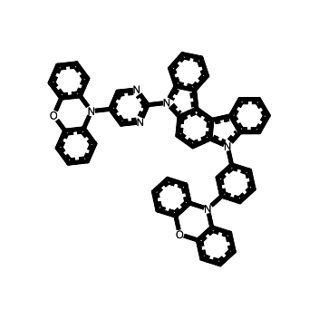 c1cc(N2c3ccccc3Oc3ccccc32)cc(-n2c3ccccc3c3c4c5ccccc5n(-c5ncc(N6c7ccccc7Oc7ccccc76)cn5)c4ccc32)c1